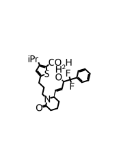 CC(C)c1cc(CCCN2C(=O)CCC[C@@H]2/C=C/[C@@H](O)C(F)(F)c2ccccc2)sc1C(=O)O